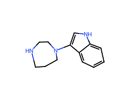 c1ccc2c(N3CCCNCC3)c[nH]c2c1